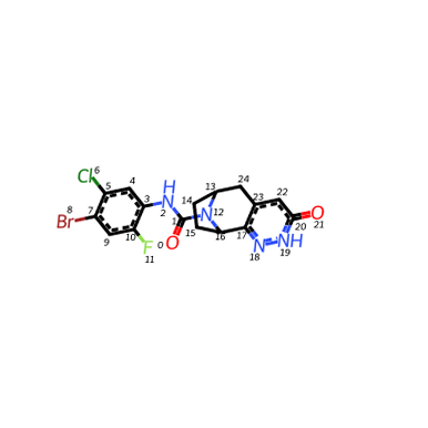 O=C(Nc1cc(Cl)c(Br)cc1F)N1C2CCC1c1n[nH]c(=O)cc1C2